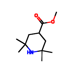 COC(=O)C1CC(C)(C)NC(C)(C)C1